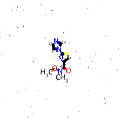 CON(C)C(=O)c1csc(-n2ccnc2)n1